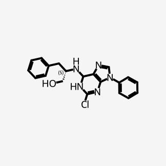 OC[C@H](Cc1ccccc1)NC1NC(Cl)=Nc2c1ncn2-c1ccccc1